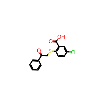 O=C(CSc1ccc(Cl)cc1C(=O)O)c1ccccc1